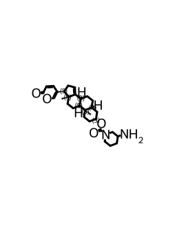 C[C@]12CC[C@H](OC(=O)N3CCCC(N)C3)C[C@H]1CC[C@H]1C3=CC[C@H](c4ccc(=O)oc4)[C@@]3(C)CC[C@@H]12